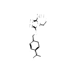 CCn1c(N)nnc1SCC1C=CC(C(C)C)=CC1